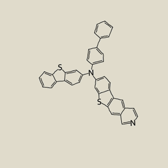 c1ccc(-c2ccc(N(c3ccc4c(c3)sc3ccccc34)c3ccc4c(c3)sc3cc5cnccc5cc34)cc2)cc1